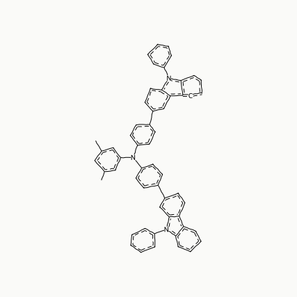 Cc1cc(C)cc(N(c2ccc(-c3ccc4c(c3)c3ccccc3n4-c3ccccc3)cc2)c2ccc(-c3ccc4c5ccccc5n(-c5ccccc5)c4c3)cc2)c1